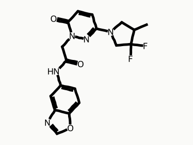 CC1CN(c2ccc(=O)n(CC(=O)Nc3ccc4ocnc4c3)n2)CC1(F)F